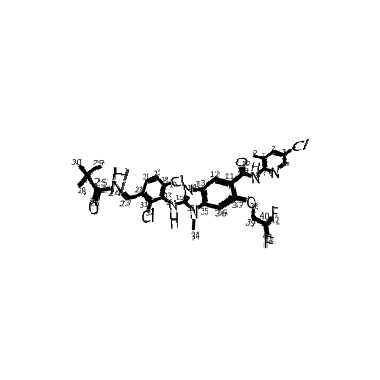 Cc1cc(Cl)cnc1NC(=O)c1cc2nc(Nc3c(Cl)ccc(CNC(=O)C(C)(C)C)c3Cl)n(C)c2cc1OCC(F)F